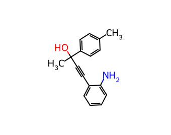 Cc1ccc(C(C)(O)C#Cc2ccccc2N)cc1